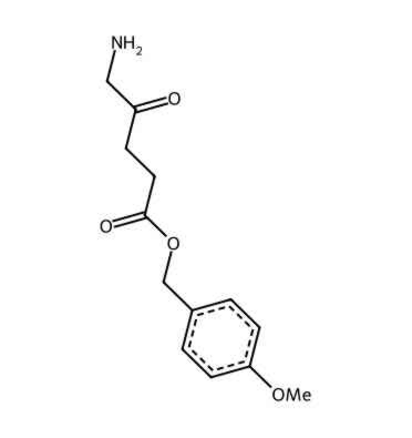 COc1ccc(COC(=O)CCC(=O)CN)cc1